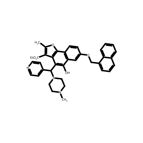 CCOC(=O)c1c(C)oc2c1c(C(c1ccncc1)N1CCN(C)CC1)c(O)c1cc(OCc3cccc4ccccc34)ccc12